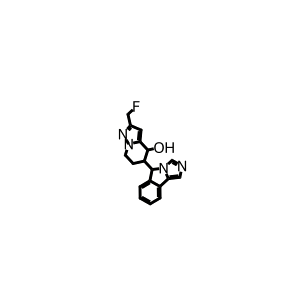 OC1c2cc(CF)nn2CCC1C1c2ccccc2-c2cncn21